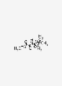 CCOC(=O)C(=O)NC(=O)OC(C)(C)C